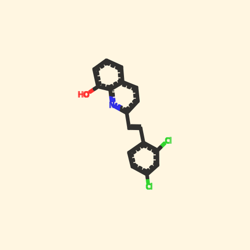 Oc1cccc2ccc(/C=C/c3ccc(Cl)cc3Cl)nc12